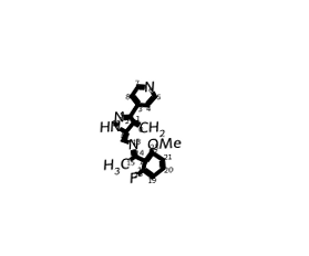 C=c1c(-c2ccncc2)n[nH]/c1=C/N=C(\C)c1c(F)cccc1OC